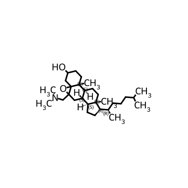 CC(C)CCC[C@@H](C)[C@H]1CC[C@H]2[C@@H]3CC4(CN(C)C)OC45CC(O)CC[C@]5(C)[C@H]3CC[C@]12C